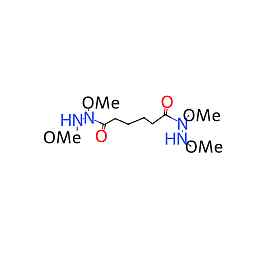 CONN(OC)C(=O)CCCCC(=O)N(NOC)OC